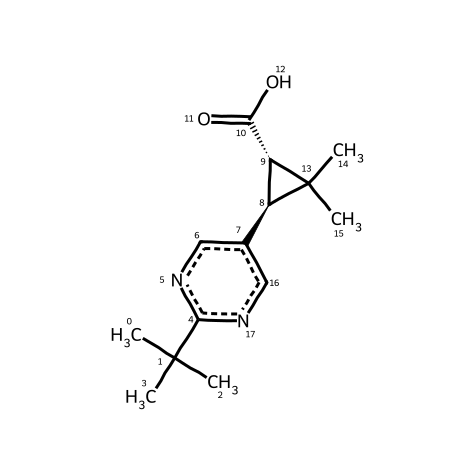 CC(C)(C)c1ncc([C@H]2[C@H](C(=O)O)C2(C)C)cn1